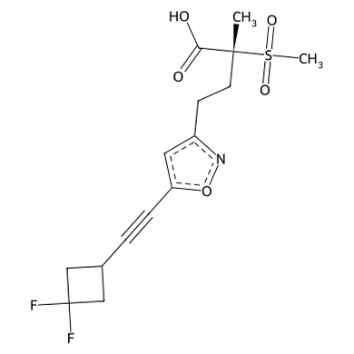 C[C@@](CCc1cc(C#CC2CC(F)(F)C2)on1)(C(=O)O)S(C)(=O)=O